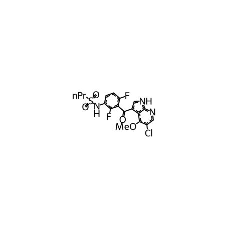 CCCS(=O)(=O)Nc1ccc(F)c(C(=O)c2c[nH]c3ncc(Cl)c(OC)c23)c1F